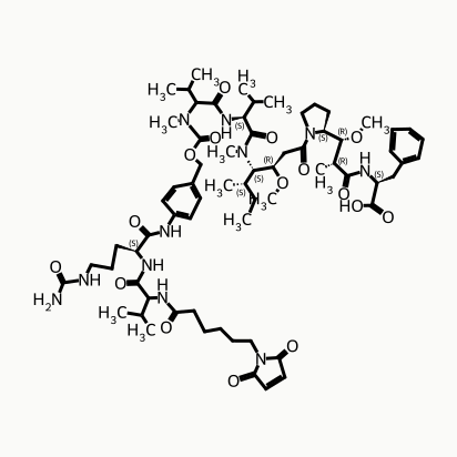 CC[C@H](C)[C@@H]([C@@H](CC(=O)N1CCC[C@H]1[C@H](OC)[C@@H](C)C(=O)N[C@@H](Cc1ccccc1)C(=O)O)OC)N(C)C(=O)[C@@H](NC(=O)C(C(C)C)N(C)C(=O)OCc1ccc(NC(=O)[C@H](CCCNC(N)=O)NC(=O)C(NC(=O)CCCCCN2C(=O)C=CC2=O)C(C)C)cc1)C(C)C